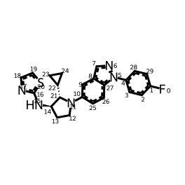 Fc1ccc(-n2ncc3cc(N4CC[C@@H](Nc5nccs5)[C@@H]4C4CC4)ccc32)cc1